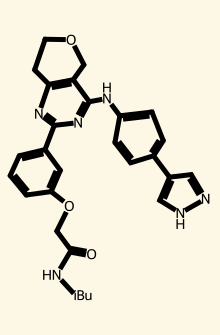 CCC(C)NC(=O)COc1cccc(-c2nc3c(c(Nc4ccc(-c5cn[nH]c5)cc4)n2)COCC3)c1